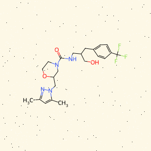 Cc1cc(C)n(CC2CN(C(=O)NCC(CO)Cc3ccc(C(F)(F)F)cc3)CCO2)n1